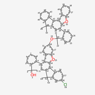 CC(C)(O)c1ccccc1-c1cc2c(c3oc4cc(OC(C)(C)c5ccccc5-c5cc6c(c7c5oc5ccccc57)-c5ccccc5C6(C)C)ccc4c13)-c1ccc(Cl)cc1C2(C)C